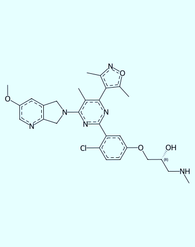 CNC[C@@H](O)COc1ccc(Cl)c(-c2nc(-c3c(C)noc3C)c(C)c(N3Cc4cc(OC)cnc4C3)n2)c1